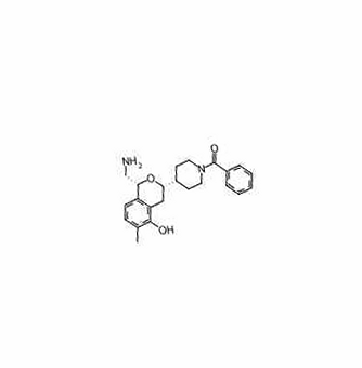 Cc1ccc2c(c1O)C[C@@H](C1CCN(C(=O)c3ccccc3)CC1)O[C@H]2CN